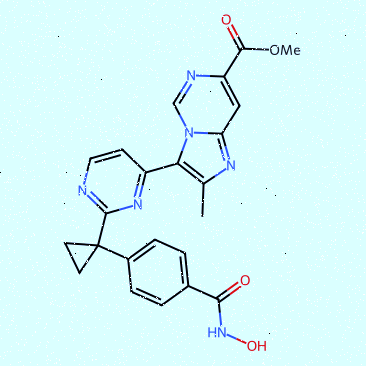 COC(=O)c1cc2nc(C)c(-c3ccnc(C4(c5ccc(C(=O)NO)cc5)CC4)n3)n2cn1